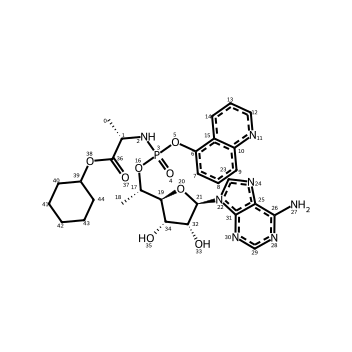 C[C@H](NP(=O)(Oc1cccc2ncccc12)O[C@@H](C)[C@H]1O[C@@H](n2cnc3c(N)ncnc32)[C@H](O)[C@@H]1O)C(=O)OC1CCCCC1